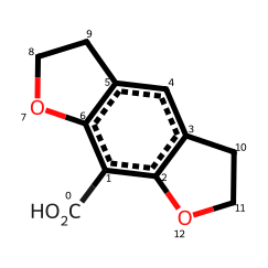 O=C(O)c1c2c(cc3c1OCC3)CCO2